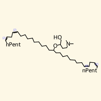 CCCCC/C=C\C/C=C\CCCCCCCCCC(CCCCCCCC/C=C\C/C=C\CCCCC)OC(CO)CCN(C)C